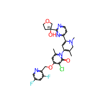 CC1=C(n2c(C)cc(OCc3ncc(F)cc3F)c(Cl)c2=O)C=C(c2ccnc([C@]3(O)CCOC3)n2)N(C)C1